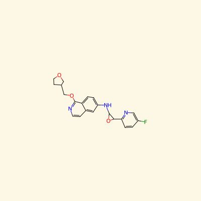 Fc1ccc(C2OC2Nc2ccc3c(OCC4CCOC4)nccc3c2)nc1